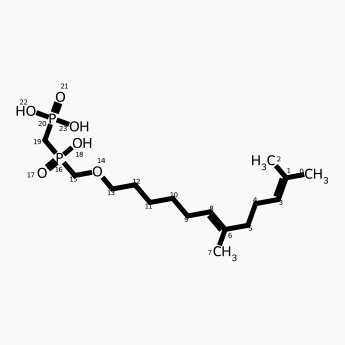 CC(C)=CCCC(C)=CCCCCCOCP(=O)(O)CP(=O)(O)O